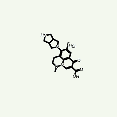 CN1CCc2c(N3CC4CNCC4C3)c(F)cc3c(=O)c(C(=O)O)cn1c23.Cl